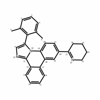 Cc1cccc(C)c1-c1cnc2c3ccccc3c3cc(C4=NCCCC4)ccc3n12